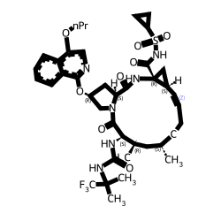 CCCOc1cnc(O[C@@H]2C[C@H]3C(=O)N[C@]4(C(=O)NS(=O)(=O)C5CC5)C[C@H]4/C=C\CC[C@H](C)C[C@@H](C)[C@H](NC(=O)NC(C)(C)C(F)(F)F)C(=O)N3C2)c2ccccc12